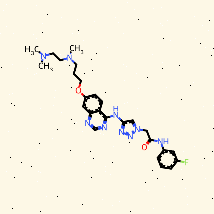 CN(C)CCN(C)CCCOc1ccc2c(Nc3cn(CC(=O)Nc4cccc(F)c4)nn3)ncnc2c1